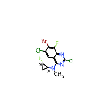 CN(c1nc(Cl)nc2c(F)c(Br)c(Cl)cc12)[C@H]1C[C@@H]1F